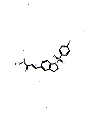 O=C(/C=C/c1ccc2c(c1)CCN2S(=O)(=O)c1ccc(F)cc1)NO